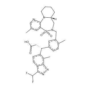 Cc1cnc2c(c1)S(=O)(=O)N(Cc1cc([C@@H](CC(=O)O)c3ccn4c(C(F)F)nnc4c3C)ccc1C)C[C@H]1CCCCN21